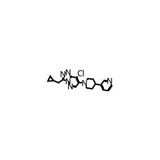 Clc1c(N2CCC(c3cccnc3)CC2)cnn2c(CC3CC3)nnc12